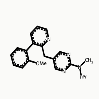 CCCN(C)c1ncc(Cc2ncccc2-c2ccccc2OC)cn1